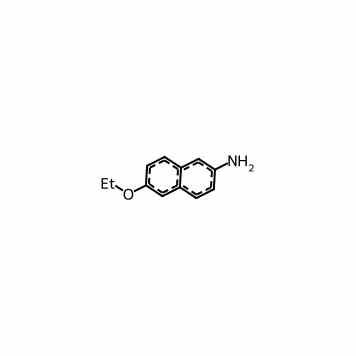 CCOc1ccc2cc(N)ccc2c1